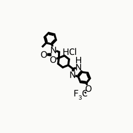 Cc1ccccc1N1CC2(CCC(c3nc4cc(OC(F)(F)F)ccc4[nH]3)CC2)OC1=O.Cl